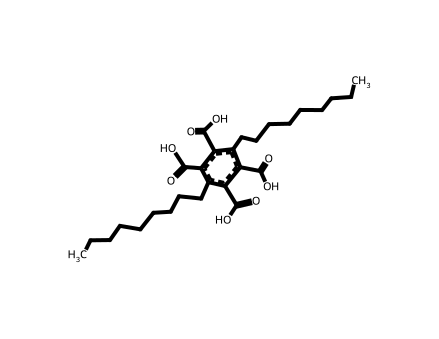 CCCCCCCCCc1c(C(=O)O)c(C(=O)O)c(CCCCCCCCC)c(C(=O)O)c1C(=O)O